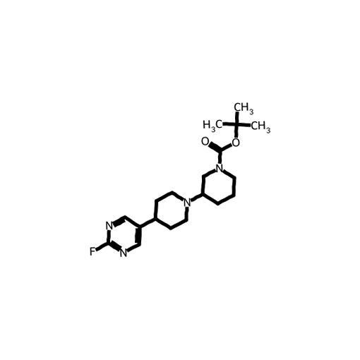 CC(C)(C)OC(=O)N1CCCC(N2CCC(c3cnc(F)nc3)CC2)C1